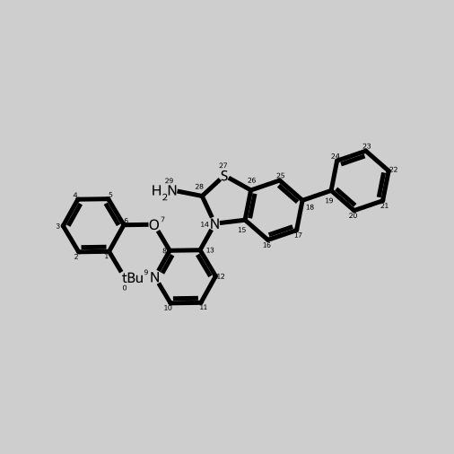 CC(C)(C)c1ccccc1Oc1ncccc1N1c2ccc(-c3ccccc3)cc2SC1N